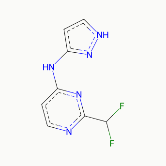 FC(F)c1nccc(Nc2cc[nH]n2)n1